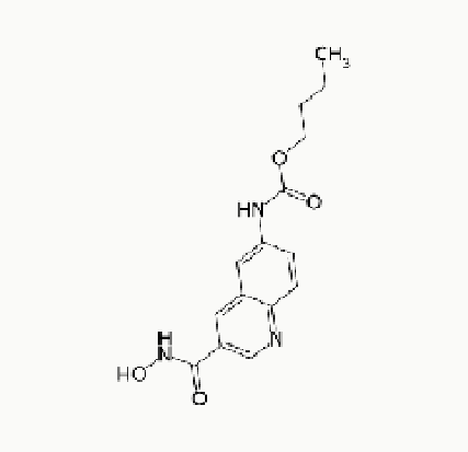 CCCCOC(=O)Nc1ccc2ncc(C(=O)NO)cc2c1